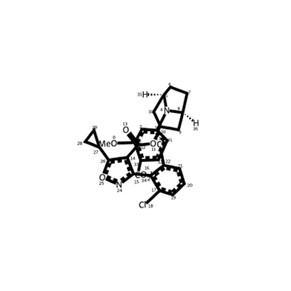 COc1cc(N2[C@@H]3CC[C@H]2C[C@@H](OC(=O)c2c(-c4c(Cl)cccc4Cl)noc2C2CC2)C3)ccc1C(=O)O